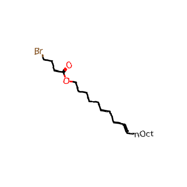 CCCCCCCCC=CCCCCCCCCOC(=O)CCCBr